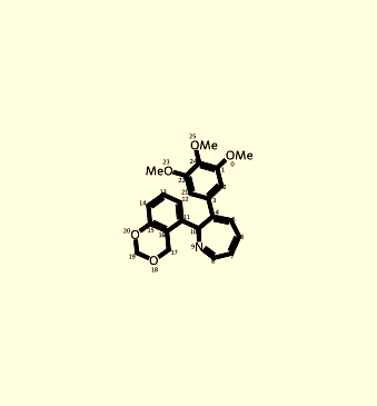 COc1cc(C2=CC=CC=NC2c2cccc3c2COCO3)cc(OC)c1OC